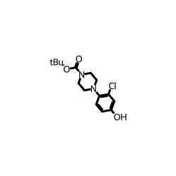 CC(C)(C)OC(=O)N1CCN(c2ccc(O)cc2Cl)CC1